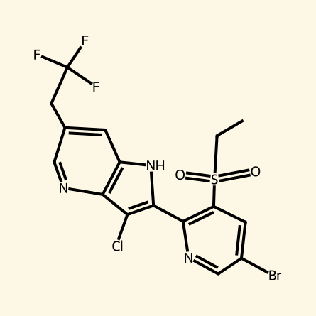 CCS(=O)(=O)c1cc(Br)cnc1-c1[nH]c2cc(CC(F)(F)F)cnc2c1Cl